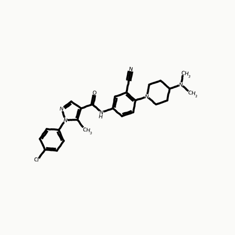 Cc1c(C(=O)Nc2ccc(N3CCC(N(C)C)CC3)c(C#N)c2)cnn1-c1ccc(Cl)cc1